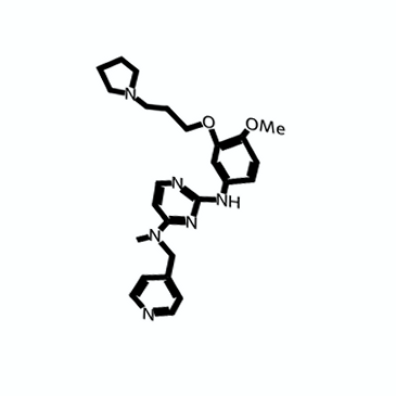 COc1ccc(Nc2nccc(N(C)Cc3ccncc3)n2)cc1OCCCN1CCCC1